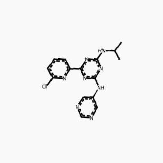 CC(C)Nc1nc(Nc2cncnc2)nc(-c2cccc(Cl)n2)n1